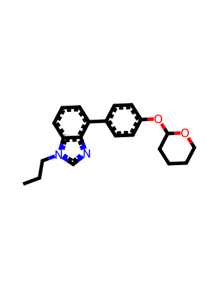 CCCn1cnc2c(-c3ccc(OC4CCCCO4)cc3)cccc21